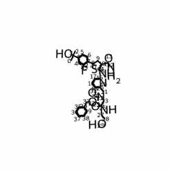 CC(C)(O)c1ccc(C2CC(C(N)=O)=C(Nc3cccc(CN(CC(=O)NCCO)C(=O)OCc4ccccc4)n3)S2)c(F)c1